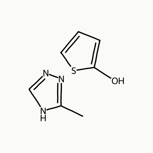 Cc1nnc[nH]1.Oc1cccs1